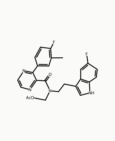 CC(=O)OCN(CCc1c[nH]c2ccc(F)cc12)C(=O)c1nccnc1-c1ccc(F)c(C)c1